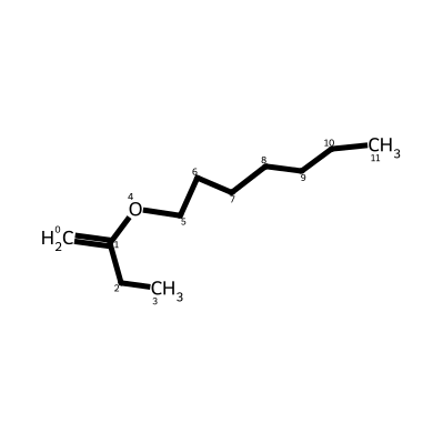 C=C(CC)OCCCCCCC